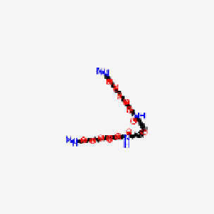 C[Si](C)(CCCC(=O)NCCOCCOCCOCCOCCOCCN=[N+]=[N-])O[Si](C)(C)CCCC(=O)NCCOCCOCCOCCOCCOCCN=[N+]=[N-]